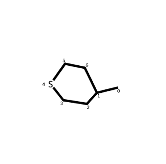 C[C]1CCSCC1